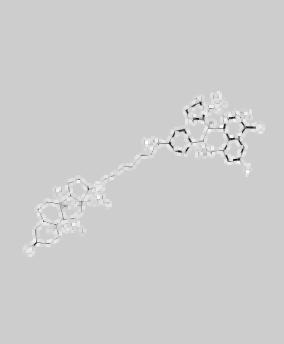 Cn1ncnc1[C@H]1c2n[nH]c(=O)c3cc(F)cc(c23)NC1c1ccc(NCCCCCCO[C@H]2CCC3[C@@H]4CCC5CC(=O)CC[C@]5(C)C4CC[C@@]32C)cc1